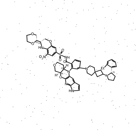 CCc1ccccc1[C@@H]1CCCN1C1CC2(CCN(c3ccc(C(=O)NS(=O)(=O)c4cc5c(c([N+](=O)[O-])c4)N[C@H]([C@H]4COCCO4)CO5)c(N4c5cc6cc[nH]c6nc5O[C@H]5COCC[C@@H]54)c3)CC2)C1